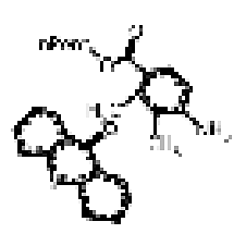 CCCCCOC(=O)c1ccc(N)c(C)c1C.O=c1c2ccccc2sc2ccccc12